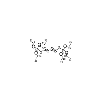 CCOC(CSSSSCC(OCC)(OCC)OCC)(OCC)OCC